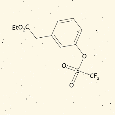 CCOC(=O)Cc1cccc(OS(=O)(=O)C(F)(F)F)c1